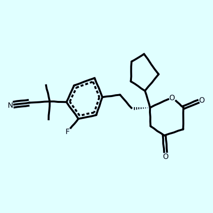 CC(C)(C#N)c1ccc(CC[C@@]2(C3CCCC3)CC(=O)CC(=O)O2)cc1F